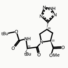 COC(=O)[C@@H]1C[C@@H](c2nn[nH]n2)CN1C(=O)[C@@H](NC(=O)OC(C)(C)C)C(C)(C)C